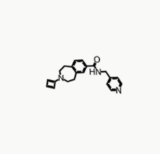 O=C(NCc1ccncc1)c1ccc2c(c1)CCN(C1=CC=C1)CC2